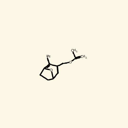 C=C(C)OCC1CC2CCC(=C1C(C)C)O2